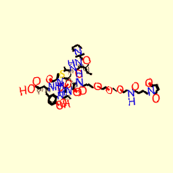 CC[C@H](C)[C@H](NC(=O)C(C)(C)N1CCCC1)C(=O)N(C)[C@H](C[C@@H](OC(C)=O)c1nc(C(=O)N[C@@H](Cc2ccc(O)c(NC(=O)[C@H](C)NC(=O)[C@H](C)NC(=O)CCOCCOCCOCCNC(=O)CCCN3C(=O)C=CC3=O)c2)C[C@H](C)C(=O)O)cs1)C(C)C